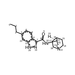 CCCc1ccc2c(C(=O)N[C@@H]3CN4CCC3CC4)n[nH]c2c1